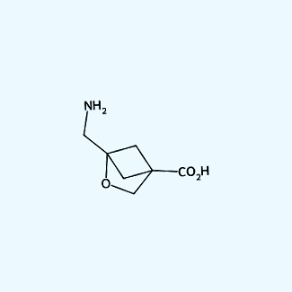 NCC12CC(C(=O)O)(CO1)C2